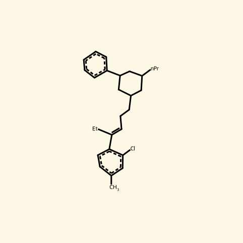 CCCC1CC(CC/C=C(\CC)c2ccc(C)cc2Cl)CC(c2ccccc2)C1